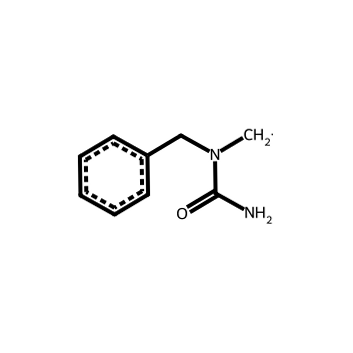 [CH2]N(Cc1ccccc1)C(N)=O